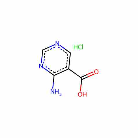 Cl.Nc1ncncc1C(=O)O